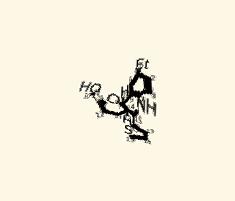 CCc1ccc2c(c1)[C@H]1O[C@@H](CO)CC[C@H]1[C@H](c1cccs1)N2